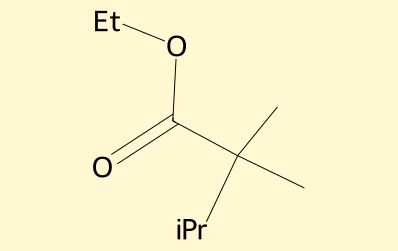 CCOC(=O)C(C)(C)C(C)C